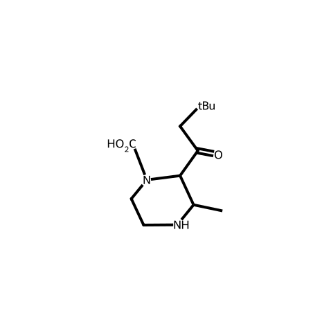 CC1NCCN(C(=O)O)C1C(=O)CC(C)(C)C